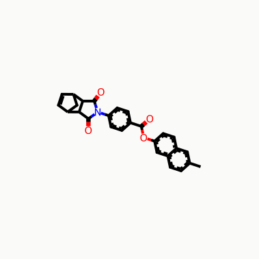 Cc1ccc2cc(OC(=O)c3ccc(N4C(=O)C5C6C=CC(C6)C5C4=O)cc3)ccc2c1